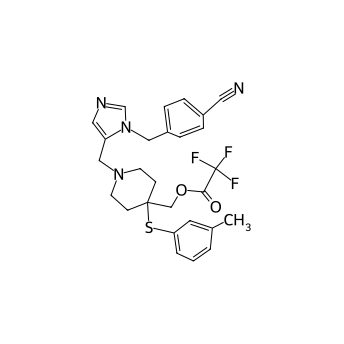 Cc1cccc(SC2(COC(=O)C(F)(F)F)CCN(Cc3cncn3Cc3ccc(C#N)cc3)CC2)c1